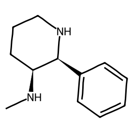 CN[C@H]1CCCN[C@H]1c1ccccc1